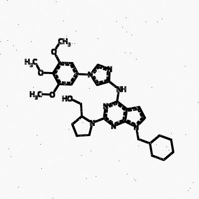 COc1cc(-n2cnc(Nc3nc(N4CCCC4CO)nc4c3ccn4CC3CCCCC3)c2)cc(OC)c1OC